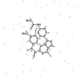 COC(=O)Nc1ccc(-c2cnn3c(C)cc(C(=O)N(C)c4ccc(F)c(OC)c4)cc23)cn1